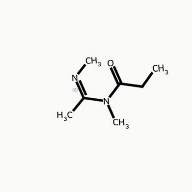 CCC(=O)N(C)/C(C)=N\C